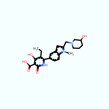 CCc1c(-c2ccc3c(c2)cc(CN2CCCC(O)C2)n3C)[nH]c(=O)c(C(=O)O)c1O